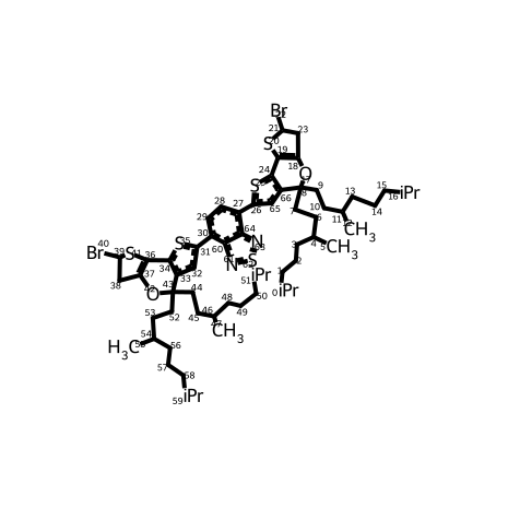 CC(C)CCCC(C)CCC1(CCC(C)CCCC(C)C)OC2=C(SC(Br)C2)c2sc(-c3ccc(-c4cc5c(s4)C4=C(CC(Br)S4)OC5(CCC(C)CCCC(C)C)CCC(C)CCCC(C)C)c4nsnc34)cc21